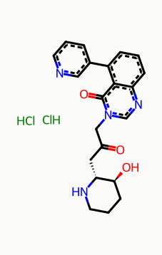 Cl.Cl.O=C(C[C@H]1NCCC[C@@H]1O)Cn1cnc2cccc(-c3cccnc3)c2c1=O